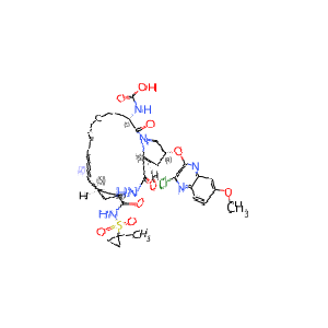 COc1ccc2nc(Cl)c(O[C@@H]3C[C@H]4C(=O)N[C@]5(C(=O)NS(=O)(=O)C6(C)CC6)C[C@H]5/C=C\CCCCC[C@H](NC(=O)O)C(=O)N4C3)nc2c1